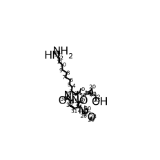 CCC(CCCCCCCCCCNN)N1C(OC[C@H]2C[C@@H]2CO)=C(N2CC(OC)C2)C=CC1C(N)=O